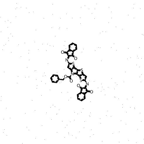 O=C(OCc1ccccc1)n1c2cc(N=c3c(=O)c4ccccc4c3=O)sc2c2sc3cc(N=c4c(=O)c5ccccc5c4=O)sc3c21